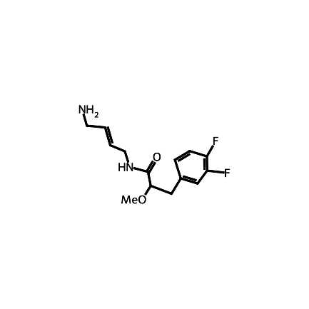 COC(Cc1ccc(F)c(F)c1)C(=O)NCC=CCN